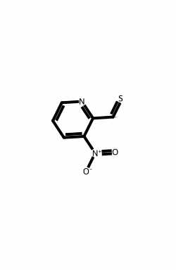 O=[N+]([O-])c1cccnc1[C]=S